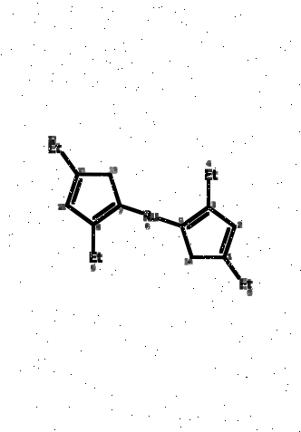 CCC1=CC(CC)=[C]([Ru][C]2=C(CC)C=C(CC)C2)C1